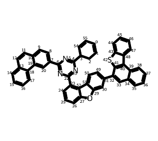 C1=CCC(c2nc(-c3ccc4ccc5ccccc5c4c3)nc(-c3cccc4oc5cc(-c6cc7ccccc7c7c6sc6ccccc67)ccc5c34)n2)C=C1